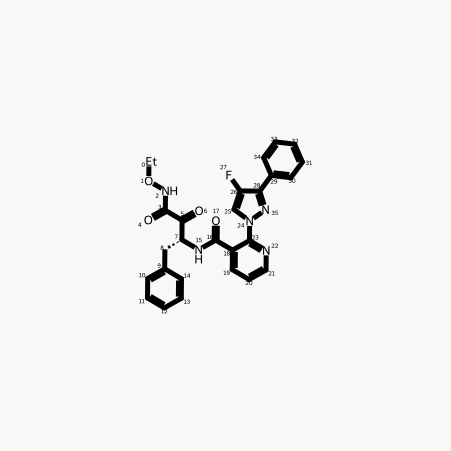 CCONC(=O)C(=O)[C@@H](Cc1ccccc1)NC(=O)c1cccnc1-n1cc(F)c(-c2ccccc2)n1